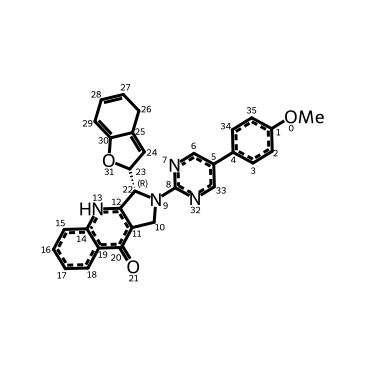 COc1ccc(-c2cnc(N3Cc4c([nH]c5ccccc5c4=O)[C@@H]3C3C=C4CC=CC=C4O3)nc2)cc1